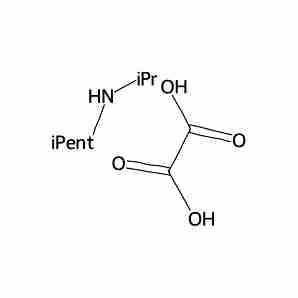 CCCC(C)NC(C)C.O=C(O)C(=O)O